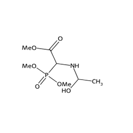 COC(=O)C(NC(C)O)P(=O)(OC)OC